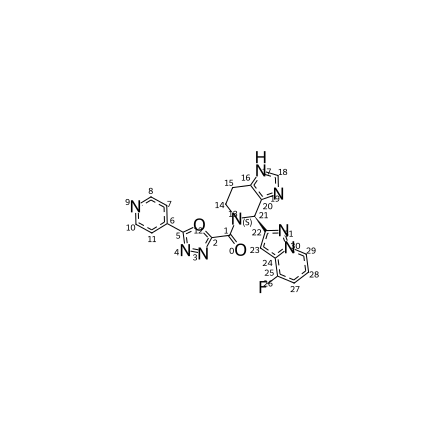 O=C(c1nnc(-c2ccncc2)o1)N1CCc2[nH]cnc2[C@H]1c1cc2c(F)cccn2n1